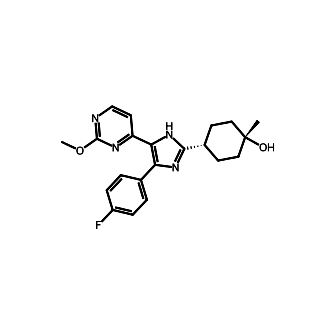 COc1nccc(-c2[nH]c([C@H]3CC[C@@](C)(O)CC3)nc2-c2ccc(F)cc2)n1